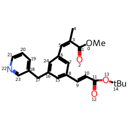 COC(=O)C(C)=Cc1cc(/C=C/C(=O)OC(C)(C)C)cc(Cc2cccnc2)c1